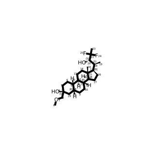 COC[C@]1(O)CC[C@H]2[C@H](CC[C@@H]3[C@@H]2CC[C@]2(C)[C@@H]([C@H](C)[C@H](O)C(C)(F)F)CC[C@@H]32)C1